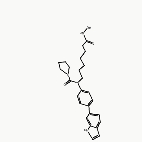 O=C(CCCCCCN(C(=O)N1CCCC1)c1ccc(-c2ccc3cc[nH]c3c2)cc1)NO